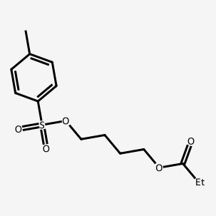 CCC(=O)OCCCCOS(=O)(=O)c1ccc(C)cc1